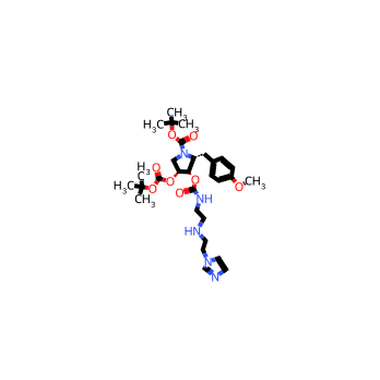 COc1ccc(C[C@@H]2[C@H](OC(=O)NCCNCCn3ccnc3)[C@@H](OC(=O)OC(C)(C)C)CN2C(=O)OC(C)(C)C)cc1